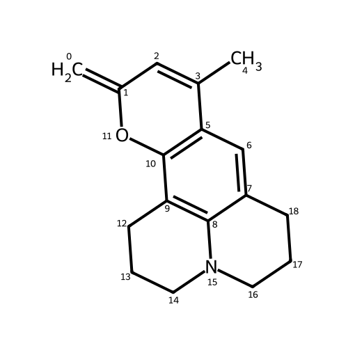 C=C1C=C(C)c2cc3c4c(c2O1)CCCN4CCC3